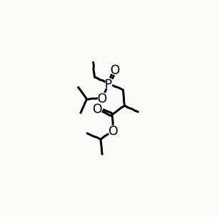 CCP(=O)(CC(C)C(=O)OC(C)C)OC(C)C